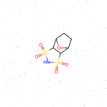 O=S1(=O)NS(=O)(=O)C2C3CCC(O3)C21